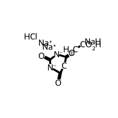 CC(=O)O.Cl.O=C1CC(=O)[N-]C(=O)[N-]1.[Na+].[Na+].[NaH]